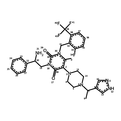 Cc1c(N2CCN(C(C)c3cn[nH]c3)CC2)c(=O)n(CC(N)c2ccccc2)c(=O)n1Cc1c(F)cccc1C(F)(F)F